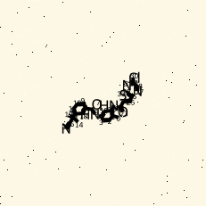 Cc1ccc(NC(=O)c2cccc(C(C)(C)C#N)c2)cc1NC(=O)c1cc2ncc(Cl)nc2s1